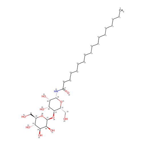 CCCCCCCCCCCCCCCCCC(=O)N[C@@H]1O[C@H](CO)[C@@H](O[C@@H]2O[C@H](CO)[C@@H](O)[C@H](O)[C@@H]2O)[C@H](O)[C@@H]1O